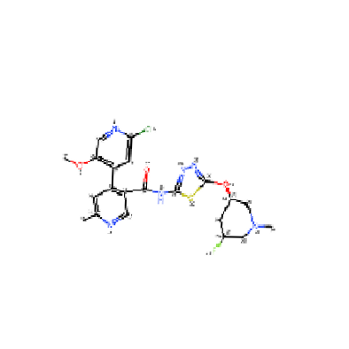 COc1cnc(Cl)cc1-c1cc(C)ncc1C(=O)Nc1nnc(O[C@@H]2C[C@H](F)CN(C)C2)s1